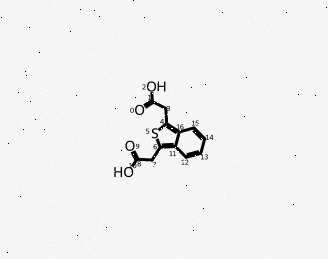 O=C(O)Cc1sc(CC(=O)O)c2ccccc12